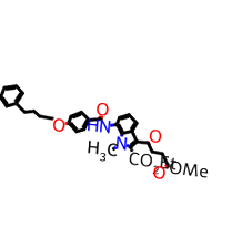 CCOC(=O)c1c(C(=O)CCC(=O)OC)c2cccc(NC(=O)c3ccc(OCCCCc4ccccc4)cc3)c2n1C